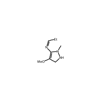 CC/C=N\C1=C(OC)CNN1C